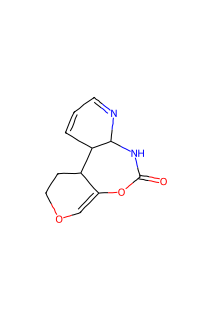 O=C1NC2N=CC=CC2C2CCOC=C2O1